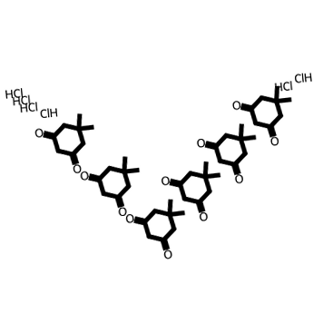 CC1(C)CC(=O)CC(=O)C1.CC1(C)CC(=O)CC(=O)C1.CC1(C)CC(=O)CC(=O)C1.CC1(C)CC(=O)CC(=O)C1.CC1(C)CC(=O)CC(=O)C1.CC1(C)CC(=O)CC(=O)C1.Cl.Cl.Cl.Cl.Cl.Cl